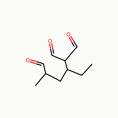 CCC(CC(C)C=O)C(C=O)C=O